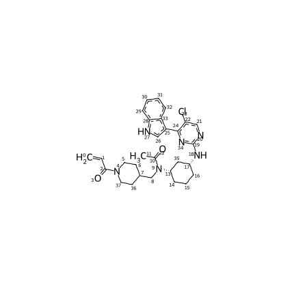 C=CC(=O)N1CCC(CN(C(C)=O)[C@H]2CCC[C@@H](Nc3ncc(Cl)c(-c4c[nH]c5ccccc45)n3)C2)CC1